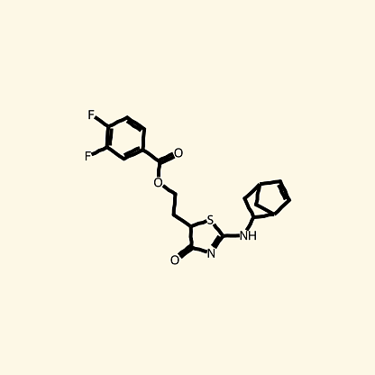 O=C(OCCC1SC(NC2CC3C=CC2C3)=NC1=O)c1ccc(F)c(F)c1